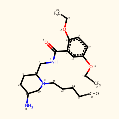 NC1CCC(CNC(=O)c2cc(OCC(F)(F)F)ccc2OCC(F)(F)F)N(CCCCC=O)C1